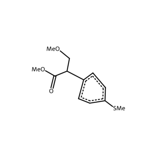 COCC(C(=O)OC)c1ccc(SC)cc1